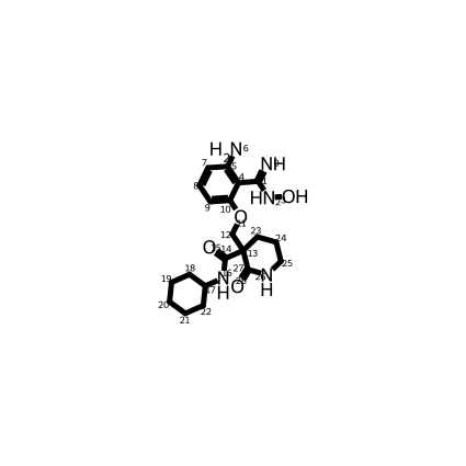 N=C(NO)c1c(N)cccc1OCC1(C(=O)NC2CCCCC2)CCCNC1=O